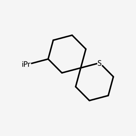 CC(C)C1CCCC2(CCCCS2)C1